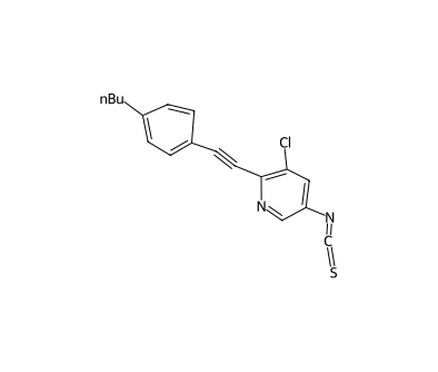 CCCCc1ccc(C#Cc2ncc(N=C=S)cc2Cl)cc1